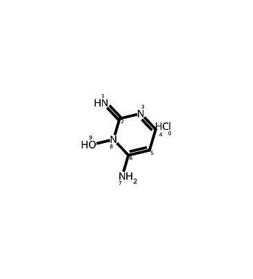 Cl.N=c1nccc(N)n1O